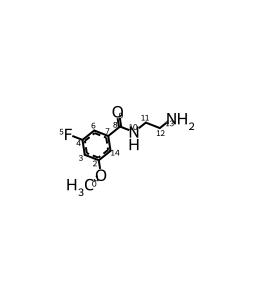 COc1cc(F)cc(C(=O)NCCN)c1